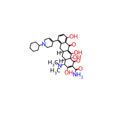 CN(C)[C@@H]1C(O)=C(C(N)=O)C(=O)[C@@]2(O)C(O)=C3C(=O)c4c(O)ccc(C5=CCN(C6CCCCC6)CC5)c4C[C@H]3C[C@@H]12